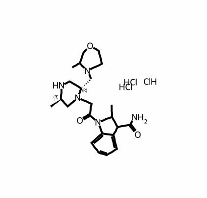 CC1COCCN1C[C@H]1CN[C@H](C)CN1CC(=O)N1c2ccccc2C(C(N)=O)C1C.Cl.Cl.Cl